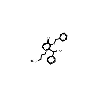 CC(=O)OC(c1ccccc1)c1c(OCc2ccccc2)c(=O)ccn1CCCC(=O)O